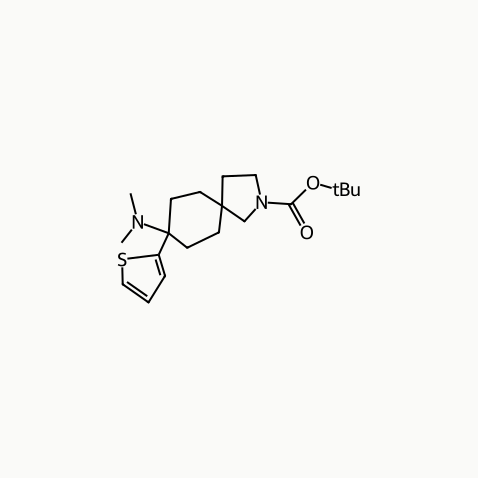 CN(C)C1(c2cccs2)CCC2(CCN(C(=O)OC(C)(C)C)C2)CC1